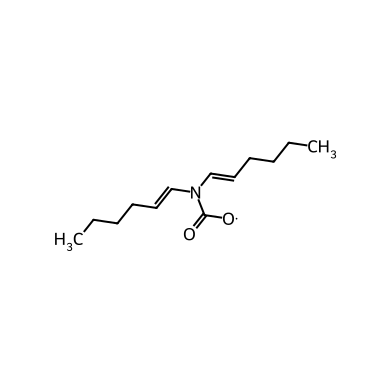 CCCCC=CN(C=CCCCC)C([O])=O